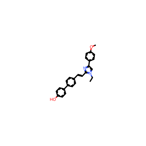 CCn1cc(-c2ccc(OC)cc2)nc1C=Cc1ccc(-c2ccc(O)cc2)cc1